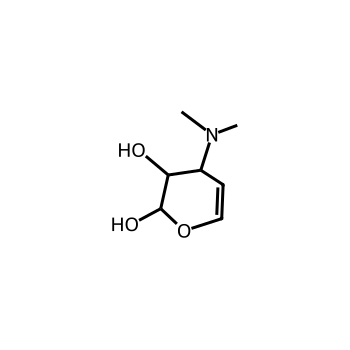 CN(C)C1C=COC(O)C1O